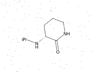 CC(C)N[C@@H]1CCCNC1=O